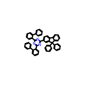 c1ccc(-c2ccccc2-c2nc(-c3ccc4c(c3)C(c3ccccc3)(c3ccccc3)c3ccccc3-4)nc(-c3ccccc3-c3ccccc3)n2)cc1